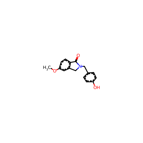 COc1ccc2c(c1)CN(Cc1ccc(O)cc1)C2=O